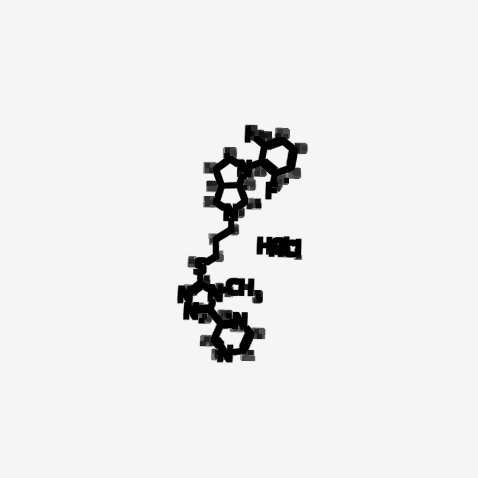 Cl.Cl.Cn1c(SCCCN2CC3CCN(c4c(F)cccc4F)C3C2)nnc1-c1cnccn1